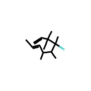 C=CC(C)(C)C(C)(F)C(C)C(C)C=CC